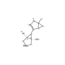 CC12CC1C(C1[C@H]3CNC[C@@H]13)=NO2